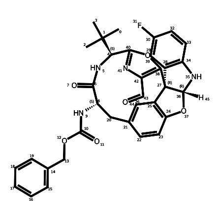 CC(C)(C)[C@@H]1NC(=O)[C@@H](NC(=O)OCc2ccccc2)Cc2ccc3c(c2)[C@@]2(c4cc(F)ccc4N[C@@H]2O3)c2oc1nc2C=O